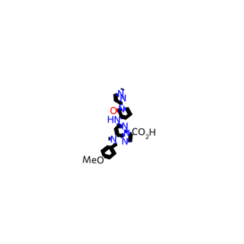 COc1ccc(CN(C)c2cc(Nc3cccn(-c4ccn(C)n4)c3=O)nn3c(C(=O)O)cnc23)cc1